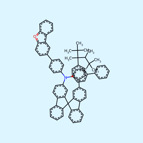 CC(C(C)(C)C)C(C)(c1ccc(-c2ccc3c(c2)C2(c4ccccc4-3)c3ccccc3-c3ccc(N(c4ccc(-c5ccccc5)cc4)c4ccc(-c5ccc6oc7ccccc7c6c5)cc4)cc32)cc1)C(C)(C)C